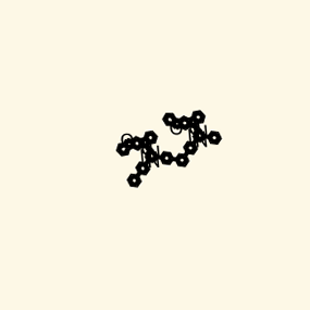 c1ccc(-c2ccc(-c3nc(-c4ccc(-c5cccc(-c6ccc(-c7nc(-c8ccccc8)nc(-n8c9ccccc9c9cc%10c(cc98)oc8ccccc8%10)n7)cc6)c5)cc4)nc(-n4c5ccccc5c5cc6oc7ccccc7c6cc54)n3)cc2)cc1